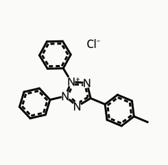 Cc1ccc(-c2nn(-c3ccccc3)[n+](-c3ccccc3)n2)cc1.[Cl-]